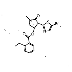 CCc1ccccc1C(=O)OC1CN(C)C(=O)N1c1ncc(Br)s1